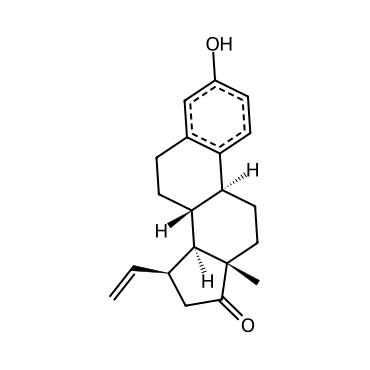 C=C[C@@H]1CC(=O)[C@@]2(C)CC[C@@H]3c4ccc(O)cc4CC[C@H]3[C@H]12